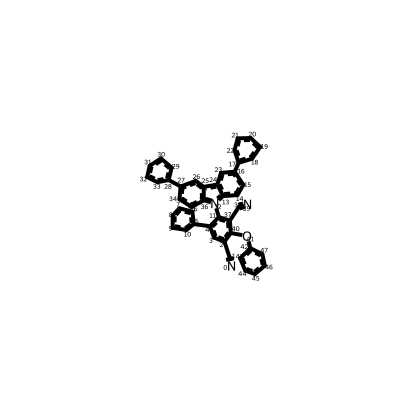 N#Cc1cc(-c2ccccc2)c(-n2c3ccc(-c4ccccc4)cc3c3cc(-c4ccccc4)ccc32)c(C#N)c1Oc1ccccc1